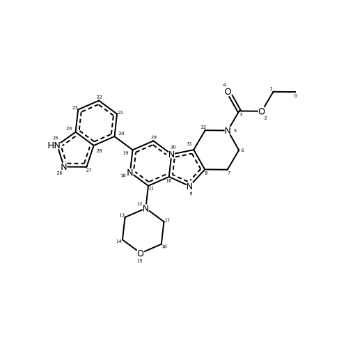 CCOC(=O)N1CCc2nc3c(N4CCOCC4)nc(-c4cccc5[nH]ncc45)cn3c2C1